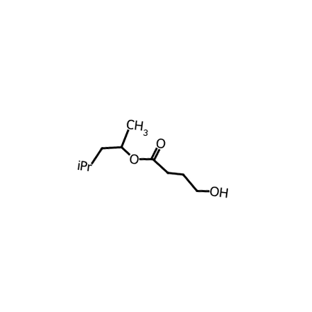 CC(C)CC(C)OC(=O)CCCO